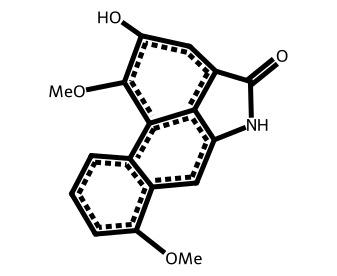 COc1cccc2c1cc1c3c(cc(O)c(OC)c32)C(=O)N1